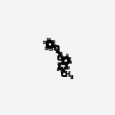 CN1CCc2c(cccc2OCCOc2ccccc2)C1